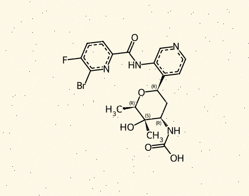 C[C@H]1O[C@@H](c2ccncc2NC(=O)c2ccc(F)c(Br)n2)C[C@@H](NC(=O)O)[C@]1(C)O